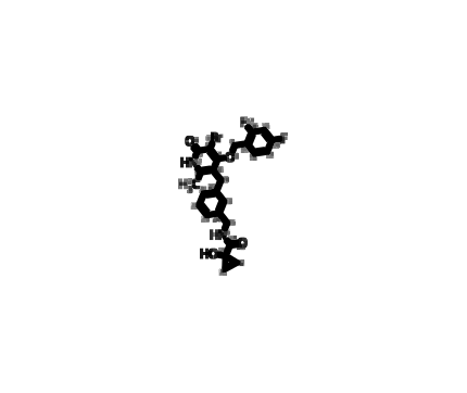 Cc1[nH]c(=O)c(Br)c(OCc2ccc(F)cc2F)c1Cc1cccc(CNC(=O)C2(O)CC2)c1